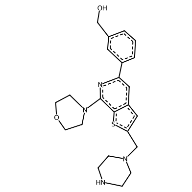 OCc1cccc(-c2cc3cc(CN4CCNCC4)sc3c(N3CCOCC3)n2)c1